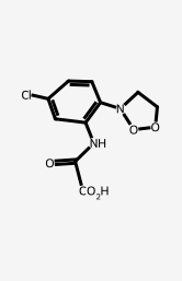 O=C(O)C(=O)Nc1cc(Cl)ccc1N1CCOO1